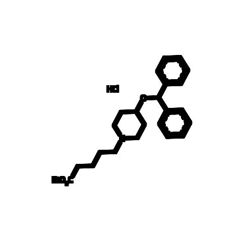 CCOC(=O)CCCCN1CCC(OC(c2ccccc2)c2ccccc2)CC1.Cl